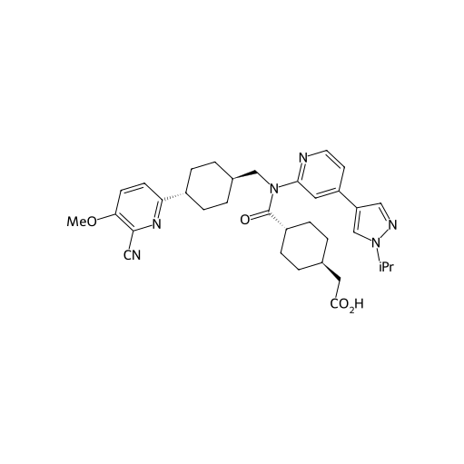 COc1ccc([C@H]2CC[C@H](CN(c3cc(-c4cnn(C(C)C)c4)ccn3)C(=O)[C@H]3CC[C@H](CC(=O)O)CC3)CC2)nc1C#N